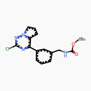 CC(C)(C)OC(=O)NCc1cccc(-c2nc(Cl)nn3cccc23)c1